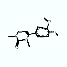 COc1ccc(C2=CCN(C)C(=O)N2C)cc1OC